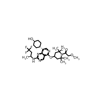 COCC(=O)N1C(C)(C)CC(Oc2ncc([C@H]3CC[C@H](O)CC3)c3nc(N[C@@H](C)CC(F)(F)F)ncc23)CC1(C)C